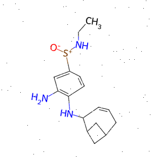 CCN[S+]([O-])c1ccc(NC2C=CCC3CC2C3)c(N)c1